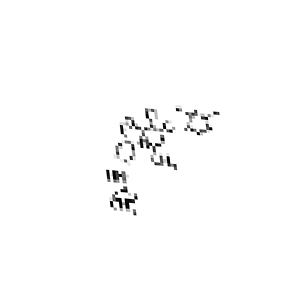 CCC(=O)NCc1ccc(F)c(-n2c(C)cc(OCc3ccc(F)cc3F)c(Cl)c2=O)c1